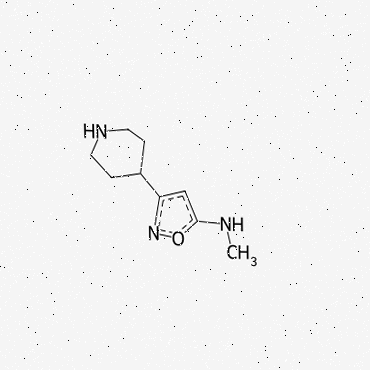 CNc1cc(C2CCNCC2)no1